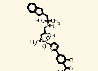 CN(C[C@H](O)CNC(C)(C)CC1Cc2ccccc2C1)S(=O)(=O)c1ccc(-c2ccc(C(=O)O)c(Cl)c2)s1